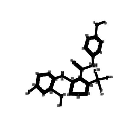 COc1ccc(NC(=O)c2c(Nc3ccc(F)cc3OC)cccc2C(F)(F)F)cn1